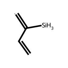 [CH]=C([SiH3])C=C